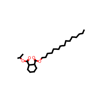 CCCCCCCCCCCCCCCOC(=O)C1CCCCC1C(=O)OC(C)C